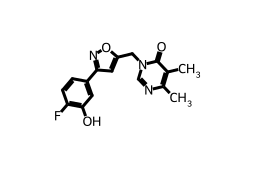 Cc1ncn(Cc2cc(-c3ccc(F)c(O)c3)no2)c(=O)c1C